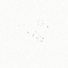 CC(=O)NCCNc1nc(C2C(=O)Nc3ccccc32)c2cn(C3CCCC3)nc2n1